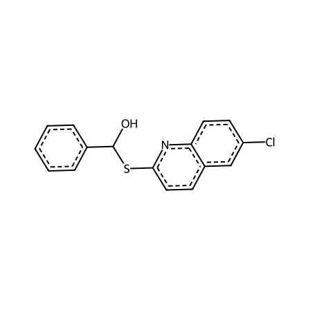 OC(Sc1ccc2cc(Cl)ccc2n1)c1ccccc1